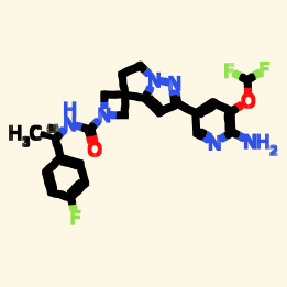 C[C@@H](NC(=O)N1CC2(CCn3nc(-c4cnc(N)c(OC(F)F)c4)cc32)C1)c1ccc(F)cc1